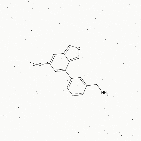 NCc1cccc(-c2cc(C=O)cc3cocc23)c1